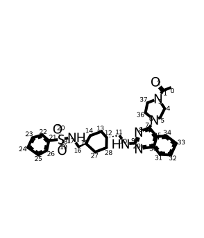 CC(=O)N1CCN(c2nc(NC[C@H]3CC[C@H](CNS(=O)(=O)c4ccccc4)CC3)nc3ccccc23)CC1